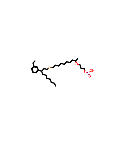 CCCCCCCC(CCSCCCCCCCCC(C)OCCCO[P](=O)O)c1cccc(CC)c1